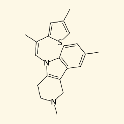 C/C(=C/n1c2c(c3cc(C)ccc31)CN(C)CC2)c1cc(C)cs1